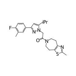 Cc1nc2c(s1)CCN(C(=O)Cn1nc(-c3ccc(F)c(C)c3)cc1C(C)C)CC2